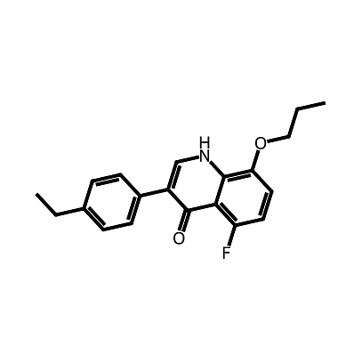 CCCOc1ccc(F)c2c(=O)c(-c3ccc(CC)cc3)c[nH]c12